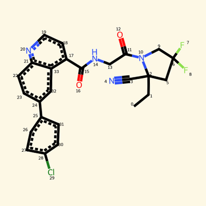 CCC1(C#N)CC(F)(F)CN1C(=O)CNC(=O)c1ccnc2ccc(-c3ccc(Cl)cc3)cc12